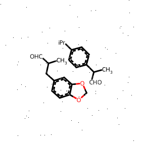 CC(C)c1ccc(C(C)C=O)cc1.CC(C=O)Cc1ccc2c(c1)OCO2